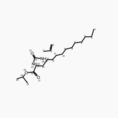 C=CC.CCCCCCCCCCCCCC(=O)OC(C)C.NC(N)=O